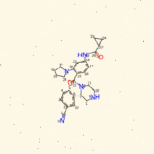 N#Cc1cccc([C@H]2CNCCN2C(=O)c2ccc(NC(=O)C3CC3)cc2N2CCCC2)c1